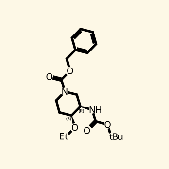 CCO[C@H]1CCN(C(=O)OCc2ccccc2)C[C@H]1NC(=O)OC(C)(C)C